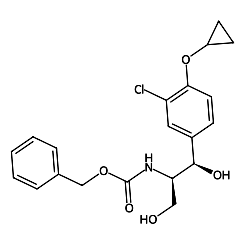 O=C(N[C@H](CO)[C@H](O)c1ccc(OC2CC2)c(Cl)c1)OCc1ccccc1